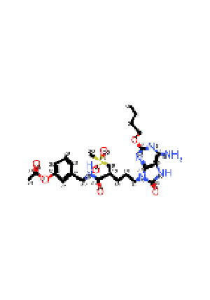 CCCCOc1nc(N)c2[nH]c(=O)n(CCCC(CS(C)(=O)=O)C(=O)NCc3cccc(OC(C)=O)c3)c2n1